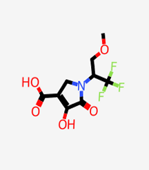 COCC(N1CC(C(=O)O)=C(O)C1=O)C(F)(F)F